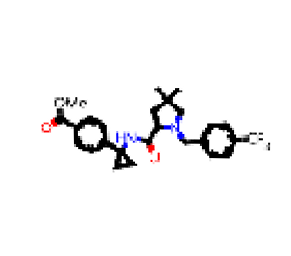 COC(=O)c1ccc(C2(NC(=O)C3CC(C)(C)CN3Cc3ccc(C(F)(F)F)cc3)CC2)cc1